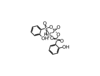 CP(=O)(OS(=O)(=O)c1ccccc1O)OS(=O)(=O)c1ccccc1O